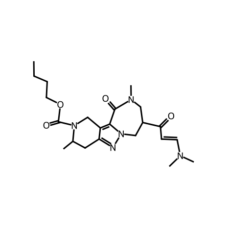 CCCCOC(=O)N1Cc2c(nn3c2C(=O)N(C)CC(C(=O)/C=C/N(C)C)C3)CC1C